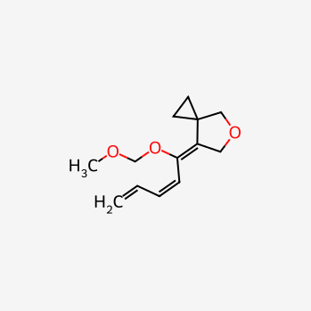 C=C/C=C\C(OCOC)=C1/COCC12CC2